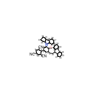 N#Cc1cc(C#N)c(C2=CC3CCC4c5ccccc5-c5cccc(c54)B4c5cccc6c7ccccc7n(c56)C(=C2)C43)c(C#N)c1